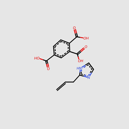 C=CCc1ncc[nH]1.O=C(O)c1ccc(C(=O)O)c(C(=O)O)c1